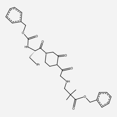 CC(C)C[C@H](NC(=O)OCc1ccccc1)C(=O)N1CCC(C(=O)CNCC(C)(C)C(=O)OCc2ccccc2)C(=O)C1